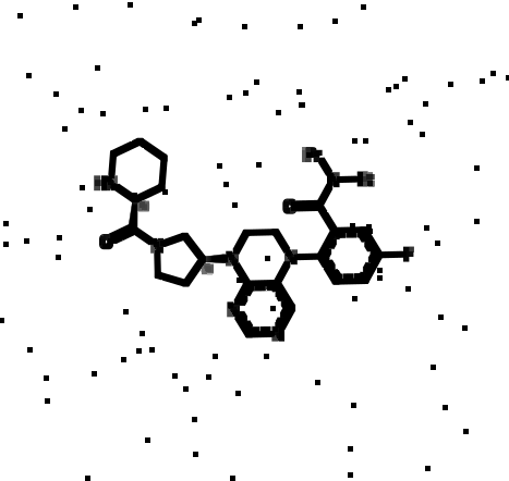 CCN(C(=O)c1cc(F)ccc1N1CCN([C@H]2CCN(C(=O)[C@@H]3CCCCN3)C2)c2ncncc21)C(C)C